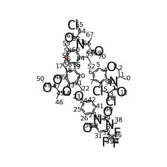 CC1COc2ccccc2N1C(=O)C(Cl)Cl.CCc1ccc(COc2ccc(-n3c(=O)cc(C(F)(F)F)n(C)c3=O)cc2)c(OC(C)C(=O)OC)c1.CCc1cccc(C)c1N(C(=O)CCl)C(C)COC